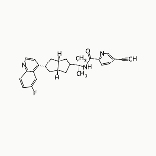 C#Cc1ccc(C(=O)NC(C)(C)C2C[C@@H]3C[C@H](c4ccnc5ccc(F)cc45)C[C@@H]3C2)nc1